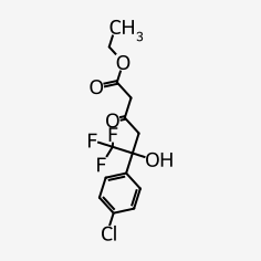 CCOC(=O)CC(=O)CC(O)(c1ccc(Cl)cc1)C(F)(F)F